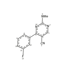 CNc1ncc(C#N)c(-c2cccc(F)c2)n1